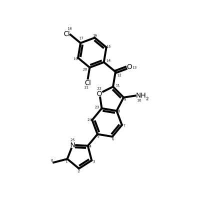 CC1C=CC(c2ccc3c(N)c(C(=O)c4ccc(Cl)cc4Cl)oc3c2)=N1